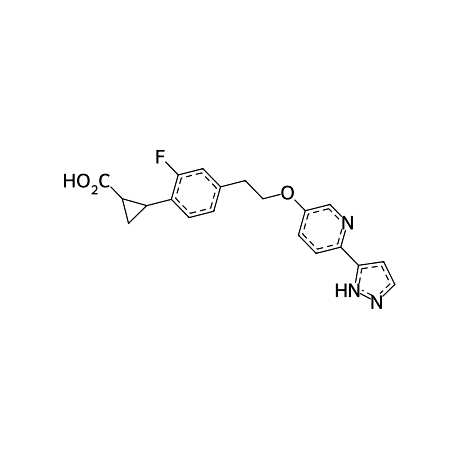 O=C(O)C1CC1c1ccc(CCOc2ccc(-c3ccn[nH]3)nc2)cc1F